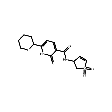 O=C(NC1C=CS(=O)(=O)C1)c1ccc(C2CCCCO2)[nH]c1=O